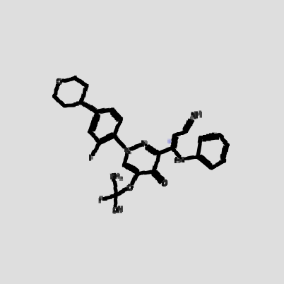 BC(O)(F)Oc1cn(-c2ccc(C3CCOCC3)cc2F)nc(/C(=C/C=N)Nc2ccccc2)c1=O